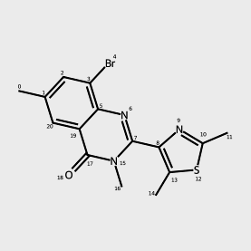 Cc1cc(Br)c2nc(-c3nc(C)sc3C)n(C)c(=O)c2c1